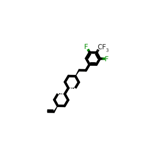 C=C[C@H]1CC[C@H]([C@H]2CC[C@H](CCc3cc(F)c(C(F)(F)F)c(F)c3)CC2)CC1